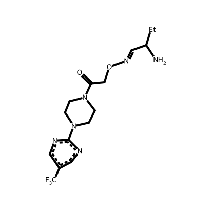 CCC(N)/C=N/OCC(=O)N1CCN(c2ncc(C(F)(F)F)cn2)CC1